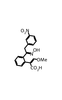 COC=C(C(=O)O)c1ccccc1C(Cc1cccc([N+](=O)[O-])c1)=NO